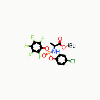 CC[C@@H](C)OC(=O)C(C)NP(=O)(Oc1ccc(Cl)cc1)Oc1c(F)c(F)c(F)c(F)c1F